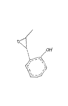 CC1OC1c1ccccc1O